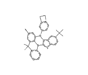 Cc1cc2c3c(c1)C(C)(C)c1ccccc1B3c1sc3ccc(C(C)(C)C)cc3c1N2c1ccc2c(c1)CC2